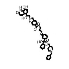 O=C(OCC1CCN(Cc2ccccc2)CC1)[C@](O)(c1ccccc1)c1cccc(OCCCn2oc3cc(CNC[C@H](O)c4ccc(O)c5[nH]c(=O)ccc45)ccc3c2=O)c1